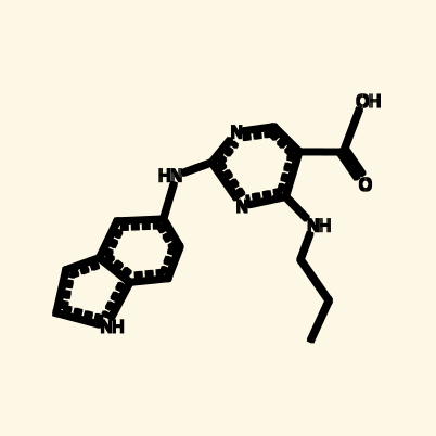 CCCNc1nc(Nc2ccc3[nH]ccc3c2)ncc1C(=O)O